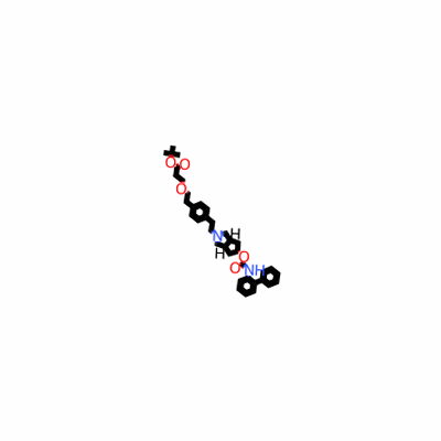 CC(C)(C)OC(=O)CCOCCc1ccc(CCN2C[C@H]3CC(OC(=O)Nc4ccccc4-c4ccccc4)C[C@H]3C2)cc1